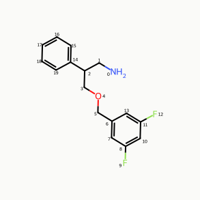 NCC(COCc1cc(F)cc(F)c1)c1ccccc1